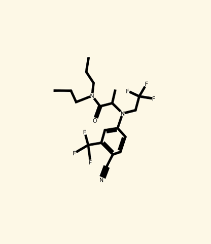 CCCN(CCC)C(=O)C(C)N(CC(F)(F)F)c1ccc(C#N)c(C(F)(F)F)c1